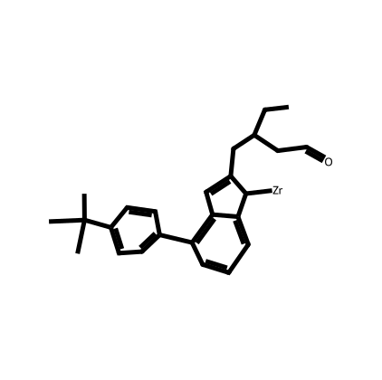 CCC(CC=O)CC1=Cc2c(-c3ccc(C(C)(C)C)cc3)cccc2[CH]1[Zr]